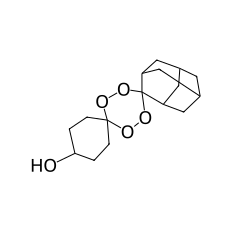 OC1CCC2(CC1)OOC1(OO2)C2CC3CC(C2)CC1C3